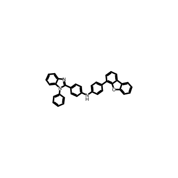 c1ccc(-n2c(-c3ccc(Nc4ccc(-c5cccc6c5oc5ccccc56)cc4)cc3)nc3ccccc32)cc1